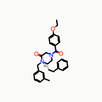 CCOc1ccc(C(=O)N2CC(=O)N(Cc3cccc(C)c3)[C@@H](CCc3ccccc3)C2)cc1